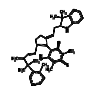 C=C(/C=C/C1=C(c2c(O)n(C)c(=S)n(C)c2=O)C(=C/CC2Nc3ccccc3C2(C)C)/CC1)C(C)(C)c1ccccc1C